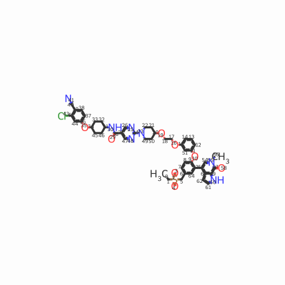 CCS(=O)(=O)Cc1ccc(Oc2cccc(OCCOC3CCN(c4ncc(C(=O)NC5CCC(Oc6ccc(C#N)c(Cl)c6)CC5)cn4)CC3)c2)c(-c2cn(C)c(=O)c3[nH]ccc23)c1